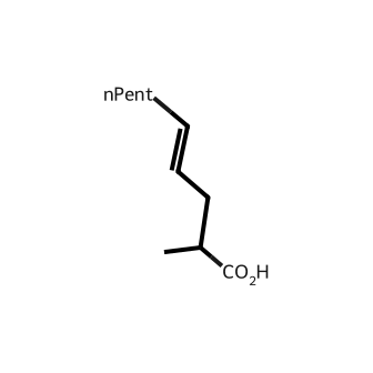 CCCCCC=CCC(C)C(=O)O